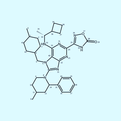 CC1CCC(Cn2c(N3CCC(C)CC3c3ccccc3)nc3nc(-c4noc(=O)[nH]4)nc(N[C@H](C)C4CCC4)c32)CC1